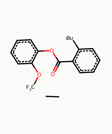 CC.CCC(C)c1ccccc1C(=O)Oc1ccccc1OC(F)(F)F